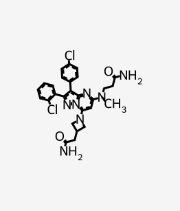 CN(CCC(N)=O)c1cc(N2CC(CC(N)=O)C2)n2nc(-c3ccccc3Cl)c(-c3ccc(Cl)cc3)c2n1